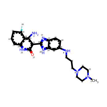 CN1CCN(CCCNc2ccc3nc(-c4c(N)c5c(F)cccc5[nH]c4=O)[nH]c3c2)CC1